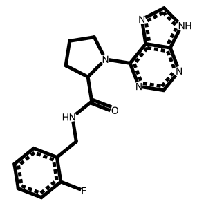 O=C(NCc1ccccc1F)C1CCCN1c1ncnc2[nH]cnc12